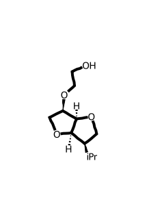 CC(C)[C@@H]1CO[C@H]2[C@@H]1OC[C@H]2OCCO